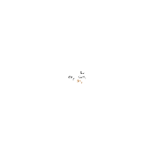 S.[CaH2].[Ce].[La].[Zr]